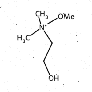 CO[N+](C)(C)CCO